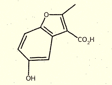 Cc1oc2ccc(O)cc2c1C(=O)O